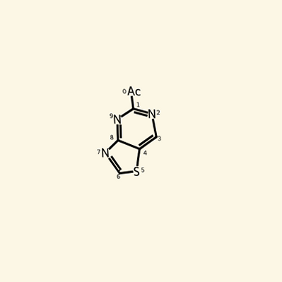 CC(=O)c1ncc2s[c]nc2n1